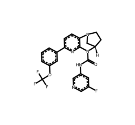 O=C(Nc1cncc(F)c1)N1c2nc(-c3cccc(OC(F)(F)F)c3)ccc2N2CC[C@H]1C2